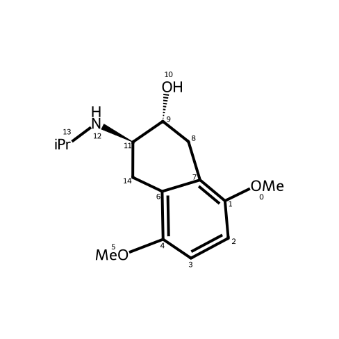 COc1ccc(OC)c2c1C[C@@H](O)[C@H](NC(C)C)C2